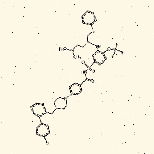 CN(C)CC[C@H](CSc1ccccc1)Nc1cc(S(=O)(=O)NC(=O)c2ccc(N3CCN(Cc4ccccc4-c4ccc(Cl)cc4)CC3)cc2)ccc1OC(F)(F)F